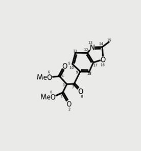 COC(=O)C(C(=O)OC)C(=O)c1ccc2nc(C)oc2c1